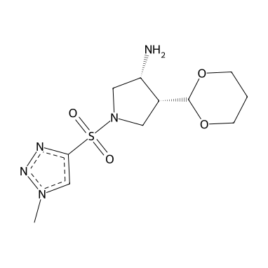 Cn1cc(S(=O)(=O)N2C[C@H](N)[C@H](C3OCCCO3)C2)nn1